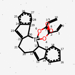 C=CC(=O)[O][Ti]1([O]C(=O)C=C)[CH]2C(=Cc3ccccc32)CCC2=Cc3ccccc3[CH]21